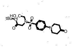 CC(C)(C)OC(=O)CN(CC(=O)O)S(=O)(=O)c1ccc(N2CCC(=O)CC2)cc1